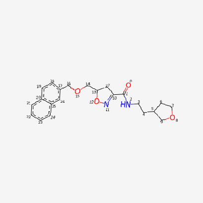 O=C(NCCC1CCOC1)C1=NOC(COCc2ccc3ccccc3c2)C1